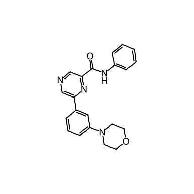 O=C(Nc1ccccc1)c1cncc(-c2cccc(N3CCOCC3)c2)n1